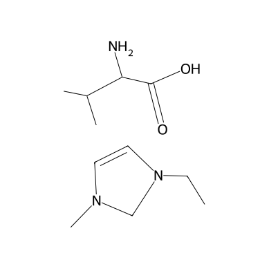 CC(C)C(N)C(=O)O.CCN1C=CN(C)C1